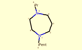 CCCC(C)N1CCCN(C(C)C)CC1